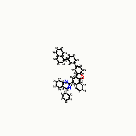 C1=Cc2c(-c3nc(-c4ccccc4)c4ccccc4n3)cc3c(oc4ccc(-c5cccc(-c6cccc7ccccc67)c5)cc43)c2CC1